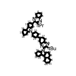 CC(C)c1nc2ccccc2nc1-c1ccc2c3ccccc3n(-c3ccc(-c4ccc5nc(C(C)(C)C)c(-n6c7ccccc7c7c8ccccc8ccc76)nc5c4)cc3)c2c1